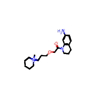 C[N+]1(CCCOCC(=O)N2CCCc3ccc(N)cc32)CCCCC1